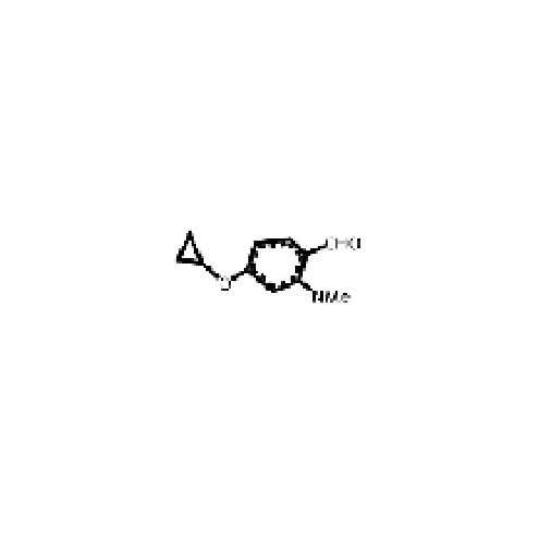 CNc1cc(OC2CC2)ccc1C=O